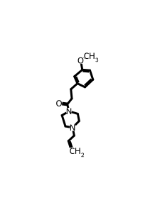 C=CCN1CCN(C(=O)CCc2cccc(OC)c2)CC1